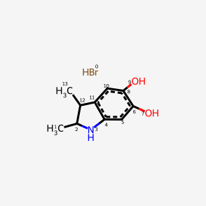 Br.CC1Nc2cc(O)c(O)cc2C1C